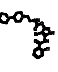 O=C(NCCN1CCC(N2CCCCC2)CC1)Oc1n[nH]c(NC(=O)c2ccccc2Cl)c1Br